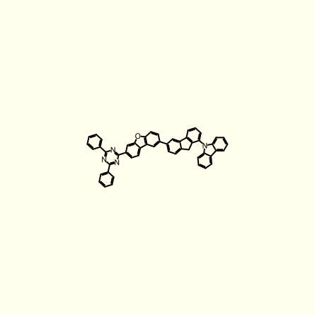 c1ccc(-c2nc(-c3ccccc3)nc(-c3ccc4c(c3)oc3ccc(-c5ccc6c(c5)-c5cccc(-n7c8ccccc8c8ccccc87)c5C6)cc34)n2)cc1